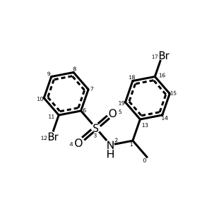 CC(NS(=O)(=O)c1ccccc1Br)c1ccc(Br)cc1